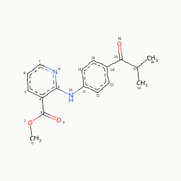 COC(=O)c1cccnc1Nc1ccc(C(=O)C(C)C)cc1